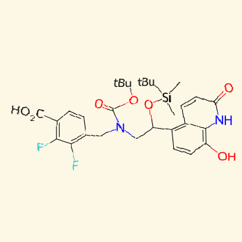 CC(C)(C)OC(=O)N(Cc1ccc(C(=O)O)c(F)c1F)CC(O[Si](C)(C)C(C)(C)C)c1ccc(O)c2[nH]c(=O)ccc12